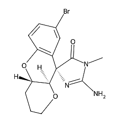 CN1C(=O)[C@]2(N=C1N)c1cc(Br)ccc1O[C@H]1CCCO[C@@H]12